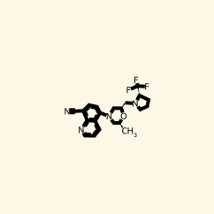 C[C@@H]1CN(c2ccc(C#N)c3ncccc23)C[C@H](CN2CCC[C@H]2C(F)(F)F)O1